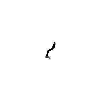 NCP=S